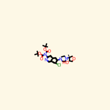 CC(C)(C)OC(=O)N(C(=O)OC(C)(C)C)c1cc2cc(N3CCN([C@]4(C)COC[C@@H]4O)CC3)c(Cl)cc2cn1